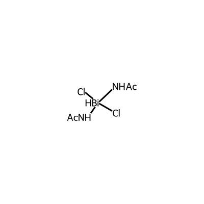 CC(=O)[NH][BiH]([Cl])([Cl])[NH]C(C)=O